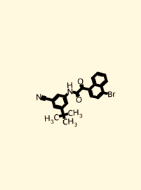 CC(C)(C)c1cc(C#N)cc(NC(=O)C(=O)c2ccc(Br)c3ccccc23)c1